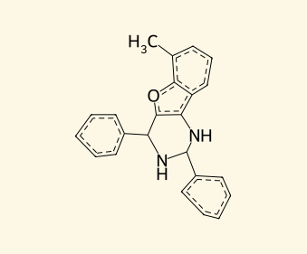 Cc1cccc2c3c(oc12)C(c1ccccc1)NC(c1ccccc1)N3